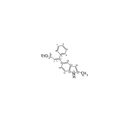 CCOC(=O)/C=C(\c1ccccc1)c1ccc2[nH]c(C)cc2c1